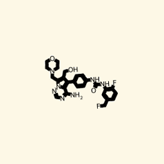 Nc1ncnn2c(CN3CCOCC3)c(CO)c(-c3ccc(NC(=O)Nc4cc(CF)ccc4F)cc3)c12